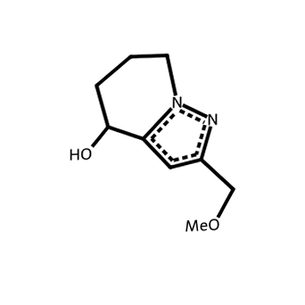 COCc1cc2n(n1)CCCC2O